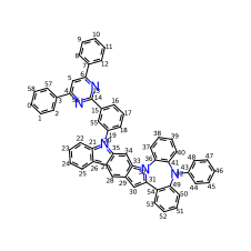 c1ccc(-c2cc(-c3ccccc3)nc(-c3cccc(-n4c5ccccc5c5cc6cc7n(c6cc54)-c4ccccc4N(c4ccccc4)c4ccccc4-7)c3)n2)cc1